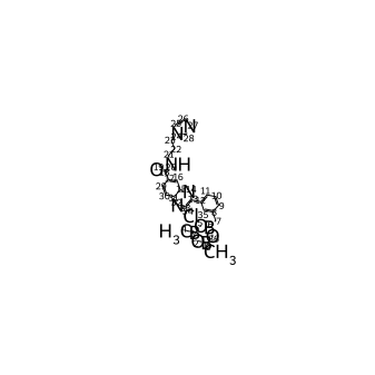 CB1OB(C)OB(Cc2cccc(-c3nc4cc(C(=O)NCCCn5ccnc5)ccc4nc3Cl)c2)O1